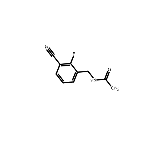 [CH2]C(=O)NCc1cccc(C#N)c1F